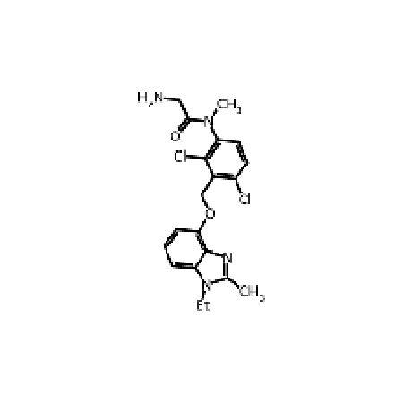 CCn1c(C)nc2c(OCc3c(Cl)ccc(N(C)C(=O)CN)c3Cl)cccc21